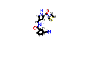 N#Cc1cccc(C(=O)NCC2CN[C@H](C(=O)N3CCSC3)C2)c1